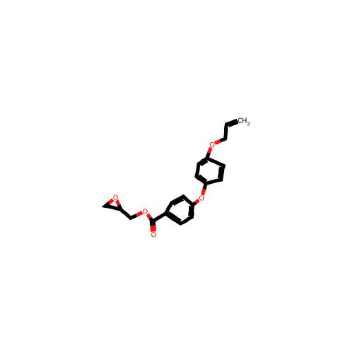 C=CCOc1ccc(Oc2ccc(C(=O)OCC3CO3)cc2)cc1